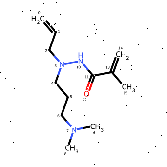 C=CCN(CCCN(C)C)NC(=O)C(=C)C